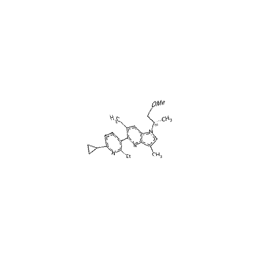 CCc1nc(C2CC2)ccc1-c1nc2c(C)cn([C@@H](C)COC)c2cc1C